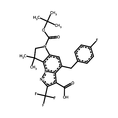 CC(C)(C)OC(=O)N1CC(C)(C)c2c1cc(Cc1ccc(F)cc1)c1c(C(=O)O)c(C(F)(F)F)nn21